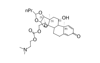 CCCC1OC2CC3C4CCC5=CC(=O)C=C[C@]5(C)C4[C@@H](O)C[C@]3(C)[C@]2(C(=O)COC(=O)OCCN(C)C)O1